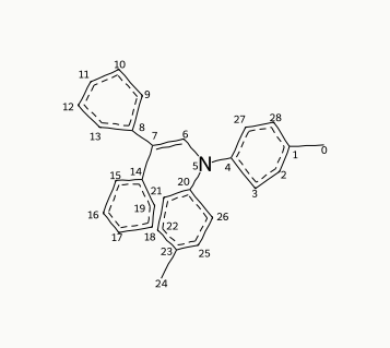 Cc1ccc(N(C=C(c2ccccc2)c2ccccc2)c2ccc(C)cc2)cc1